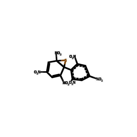 O=[N+]([O-])C1=CC2([N+](=O)[O-])SC2(c2c([N+](=O)[O-])cc([N+](=O)[O-])cc2[N+](=O)[O-])C([N+](=O)[O-])=C1